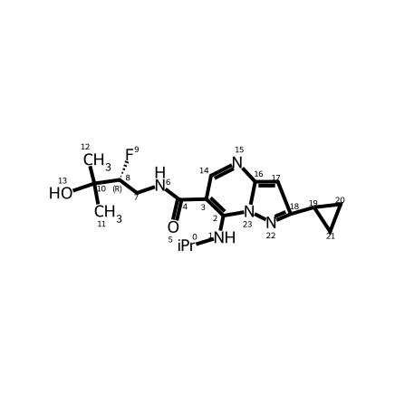 CC(C)Nc1c(C(=O)NC[C@@H](F)C(C)(C)O)cnc2cc(C3CC3)nn12